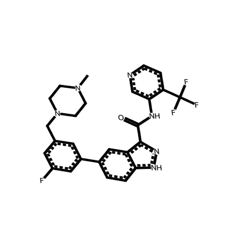 CN1CCN(Cc2cc(F)cc(-c3ccc4[nH]nc(C(=O)Nc5cnccc5C(F)(F)F)c4c3)c2)CC1